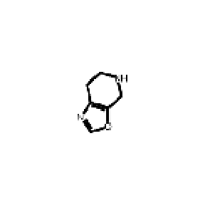 c1nc2c(o1)CNCC2